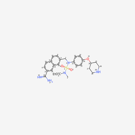 CCOC(=O)N(C)S(=O)(=O)N(Cc1ccc2ccc(C(=N)N)cc2c1)c1ccc(OC2CCNCC2)cc1